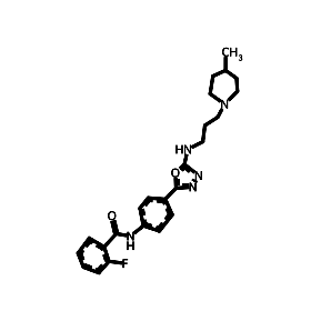 CC1CCN(CCCNc2nnc(-c3ccc(NC(=O)c4ccccc4F)cc3)o2)CC1